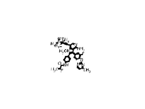 C=C(F)C(=O)Nc1ccc(-c2c(-c3ccc(Oc4nccc(C)n4)c(F)c3)c3c(N)ncc(C#CC(C)(C)N(C)C)c3n2C)cc1